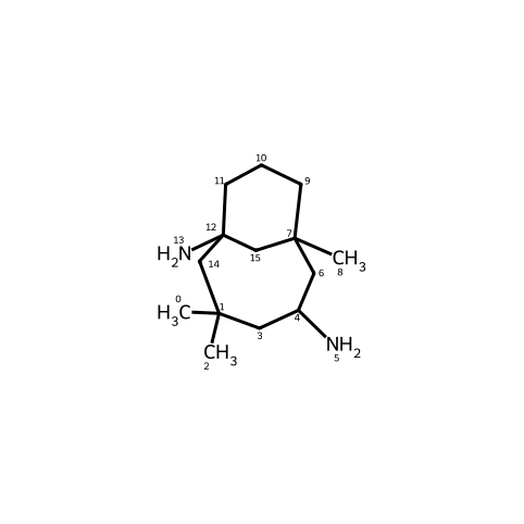 CC1(C)CC(N)CC2(C)CCCC(N)(C1)C2